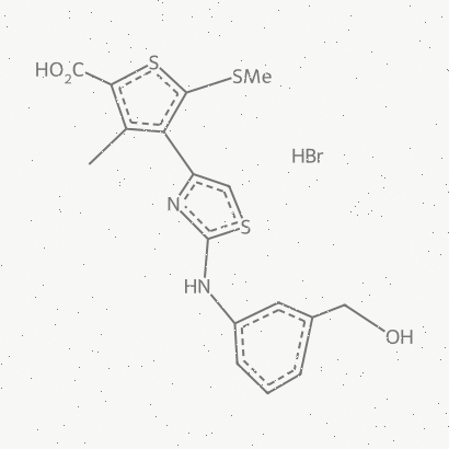 Br.CSc1sc(C(=O)O)c(C)c1-c1csc(Nc2cccc(CO)c2)n1